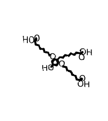 O=C(O)CCCCCCCOc1cc(O)cc(OCCCCCCCC(=O)O)c1CCCCCCCC(=O)O